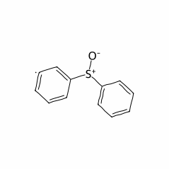 [O-][S+](c1c[c]ccc1)c1ccccc1